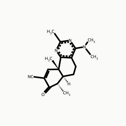 Cc1nc(N(C)C)c2c(n1)[C@@]1(C)C=C(C#N)C(=O)[C@@H](C)[C@@H]1CC2